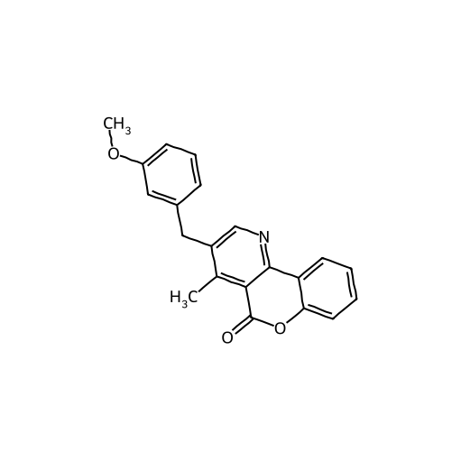 COc1cccc(Cc2cnc3c(c2C)c(=O)oc2ccccc23)c1